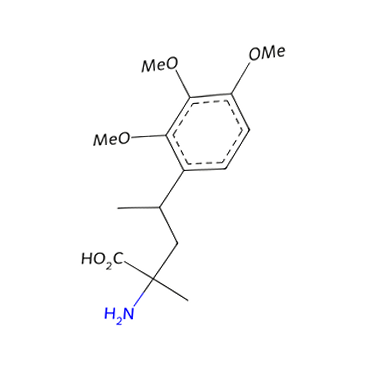 COc1ccc(C(C)CC(C)(N)C(=O)O)c(OC)c1OC